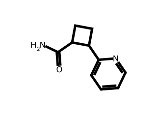 NC(=O)C1CCC1c1ccccn1